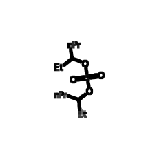 CCCC(CC)OS(=O)(=O)OC(CC)CCC